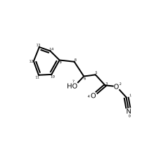 N#COC(=O)CC(O)Cc1ccccc1